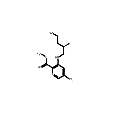 C[C@H](CCO)CNc1cc(C(F)(F)F)cnc1C(=N)ON